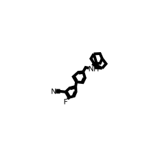 N#Cc1cc(-c2ccc(CNC34CC5CC(CC(C5)C3)C4)cc2)ccc1F